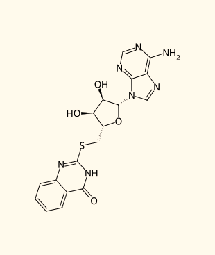 Nc1ncnc2c1ncn2[C@@H]1O[C@H](CSc2nc3ccccc3c(=O)[nH]2)[C@@H](O)[C@H]1O